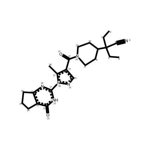 CCC(C#N)(CC)C1CCN(C(=O)c2cnn(-c3nc4c(c(=O)[nH]3)CCC4)c2C)CC1